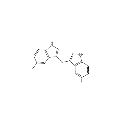 Cc1ccc2[nH]cc([CH]c3c[nH]c4ccc(C)cc34)c2c1